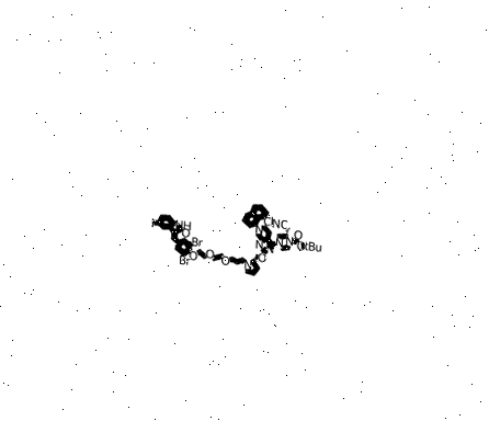 CC(C)(C)OC(=O)N1CCN(c2nc(OC[C@@H]3CCCN3CCCOCCOCCOc3c(Br)cc(C=C4C(=O)Nc5ccc(I)cc54)cc3Br)nc3c2CCN(c2cccc4cccc(Cl)c24)C3)C[C@@H]1CC#N